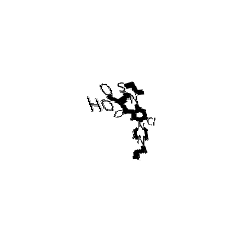 C=CCN1CCN(c2cc3c(=O)c(C(=O)O)c4scc(C)n4c3cc2Cl)CC1